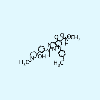 CCc1ccc(-n2cc(C(=O)NOC)c(=O)c3cnc(Nc4cccc(C5(O)CCCN(CC)C5)c4)nc32)cc1